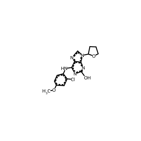 COc1ccc(Nc2nc(O)nc3c2ncn3C2CCCO2)c(Cl)c1